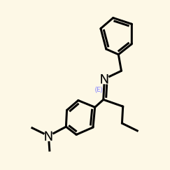 CCC/C(=N\Cc1ccccc1)c1ccc(N(C)C)cc1